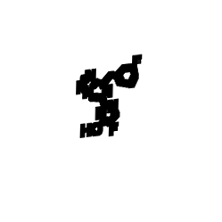 Oc1nc(-c2cn3ncnc3c(Cc3cccc(F)c3)n2)ncc1F